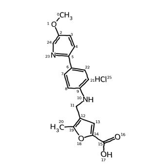 COc1ccc(-c2ccc(NCc3cc(C(=O)O)oc3C)cc2)nc1.Cl